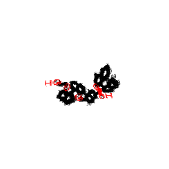 OCCOc1ccc2ccccc2c1-c1c(OCc2ccc3cc(COc4ccc5ccccc5c4-c4c(OCCO)ccc5ccccc45)ccc3c2)ccc2ccccc12